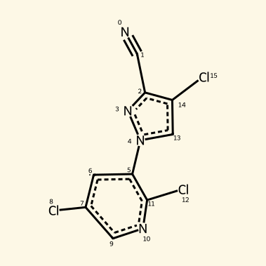 N#Cc1nn(-c2[c]c(Cl)cnc2Cl)cc1Cl